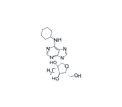 C[C@@]1(O)[C@H](O)[C@@H](CO)O[C@H]1n1cnc2c(NC3CCCCC3)ncnc21